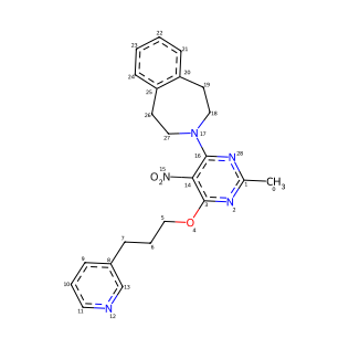 Cc1nc(OCCCc2cccnc2)c([N+](=O)[O-])c(N2CCc3ccccc3CC2)n1